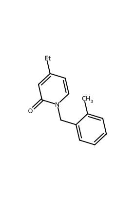 CCc1ccn(Cc2ccccc2C)c(=O)c1